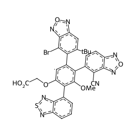 COc1c(-c2cccc3nsnc23)c(OCC(=O)O)[c]c(-c2c(C(C)(C)C)cc3nonc3c2Br)c1-c1ccc2nonc2c1C#N